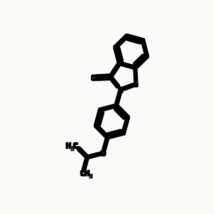 CC(C)Oc1ccc(-n2sc3ccccc3c2=O)cc1